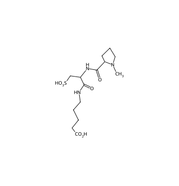 CN1CCCC1C(=O)NC(CS(=O)(=O)O)C(=O)NCCCCC(=O)O